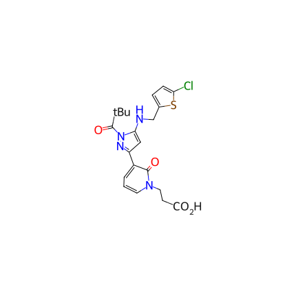 CC(C)(C)C(=O)n1nc(-c2cccn(CCC(=O)O)c2=O)cc1NCc1ccc(Cl)s1